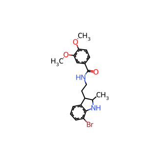 COc1ccc(C(=O)NCCC2c3cccc(Br)c3NC2C)cc1OC